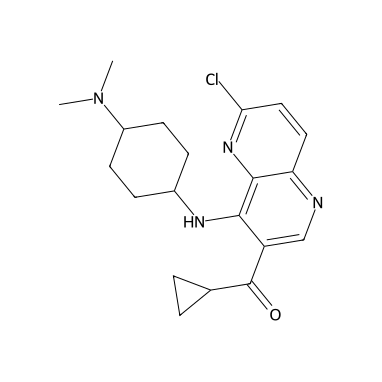 CN(C)C1CCC(Nc2c(C(=O)C3CC3)cnc3ccc(Cl)nc23)CC1